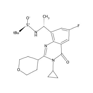 C[C@@H](N[S@+]([O-])C(C)(C)C)c1cc(F)cc2c(=O)n(C3CC3)c(C3CCOCC3)nc12